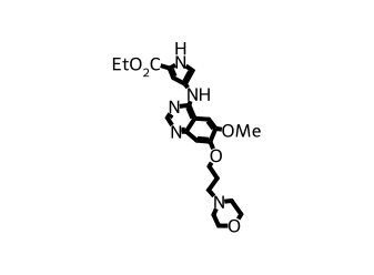 CCOC(=O)c1cc(Nc2ncnc3cc(OCCCN4CCOCC4)c(OC)cc23)c[nH]1